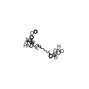 NC(=O)c1c(-c2ccc(Oc3ccccc3)cc2)nn2c1NCCC2C1CCN(CCCCCCSc2cccc3c2CN(C2CCC(=O)NC2=O)C3=O)CC1